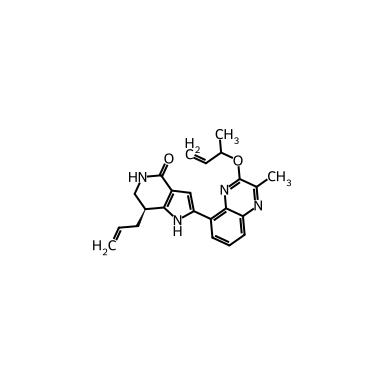 C=CC[C@H]1CNC(=O)c2cc(-c3cccc4nc(C)c(OC(C)C=C)nc34)[nH]c21